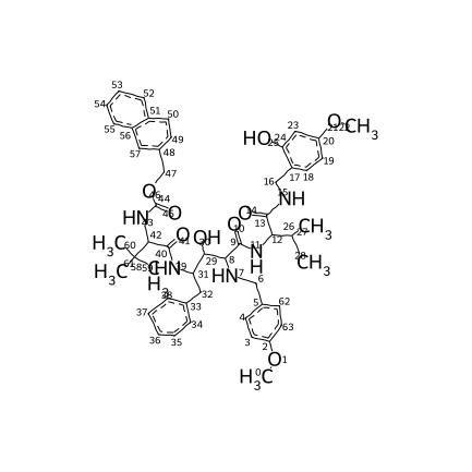 COc1ccc(CNC(C(=O)NC(C(=O)NCc2ccc(OC)cc2O)C(C)C)C(O)C(Cc2ccccc2)NC(=O)C(NC(=O)OCc2ccc3ccccc3c2)C(C)(C)C)cc1